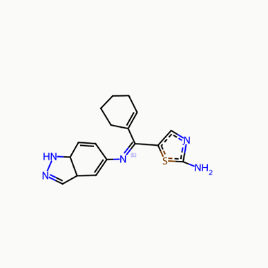 Nc1ncc(/C(=N/C2=CC3C=NNC3C=C2)C2=CCCCC2)s1